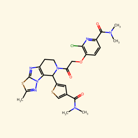 Cc1nn2c3c(nc2s1)CCN(C(=O)COc1ccc(C(=O)N(C)C)nc1Cl)C3c1cc(C(=O)N(C)C)cs1